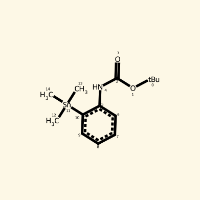 CC(C)(C)OC(=O)Nc1cccc[c]1[Sn]([CH3])([CH3])[CH3]